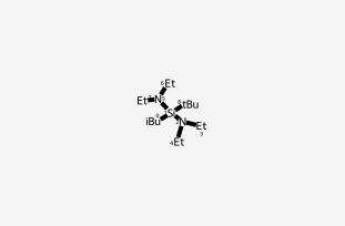 CCC(C)[Si](N(CC)CC)(N(CC)CC)C(C)(C)C